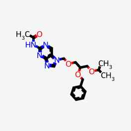 CC(=O)Nc1ncc2c(ncn2COCC(COC(C)C)OCc2ccccc2)n1